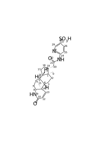 C[C@]12CC[C@H]3[C@@H](CCC4NC(=O)C=C[C@@]43C)[C@@H]1CC[C@@H]2CC(=O)Nc1ccc(S(=O)(=O)O)cn1